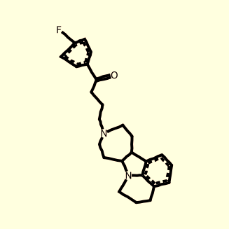 O=C(CCCN1CCC2c3cccc4c3N(CCC4)C2CC1)c1ccc(F)cc1